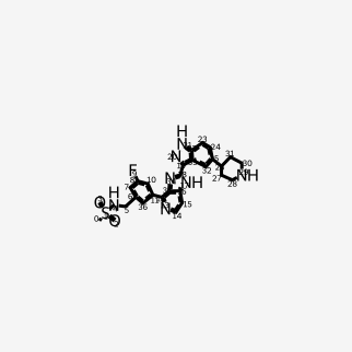 CS(=O)(=O)NCc1cc(F)cc(-c2nccc3[nH]c(-c4n[nH]c5ccc(C6CCNCC6)cc45)nc23)c1